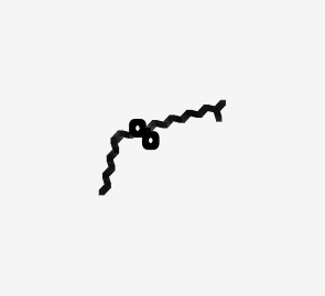 CCCCCC/C=C\COC(=O)CCCCCCCC(C)C